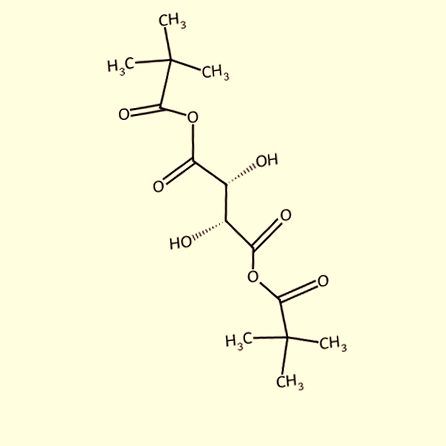 CC(C)(C)C(=O)OC(=O)[C@H](O)[C@@H](O)C(=O)OC(=O)C(C)(C)C